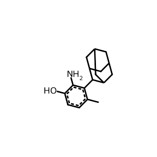 Cc1ccc(O)c(N)c1C1C2CC3CC(C2)CC1C3